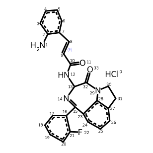 Cl.Nc1ccccc1/C=C/C(=O)NC1N=C(c2ccccc2F)c2cccc3c2N(CC3)C1=O